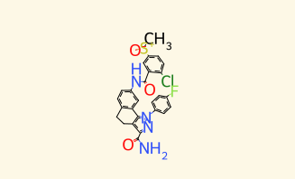 C[S+]([O-])c1ccc(Cl)c(C(=O)Nc2ccc3c(c2)-c2c(c(C(N)=O)nn2-c2ccc(F)cc2)CC3)c1